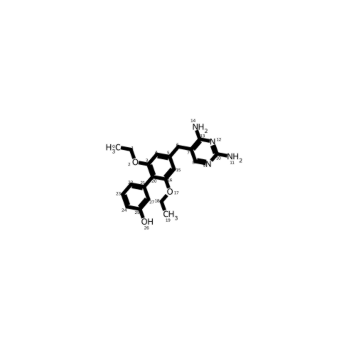 CCOc1cc(Cc2cnc(N)nc2N)cc(OCC)c1-c1cccc(O)c1